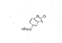 CCCCCc1ccc2nc([O])sc2c1